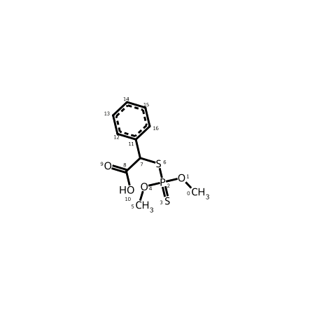 COP(=S)(OC)SC(C(=O)O)c1ccccc1